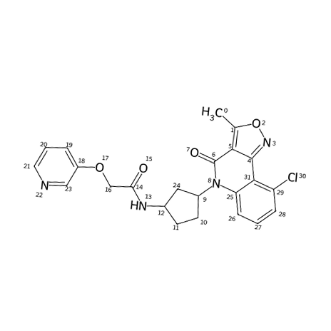 Cc1onc2c1c(=O)n(C1CCC(NC(=O)COc3cccnc3)C1)c1cccc(Cl)c21